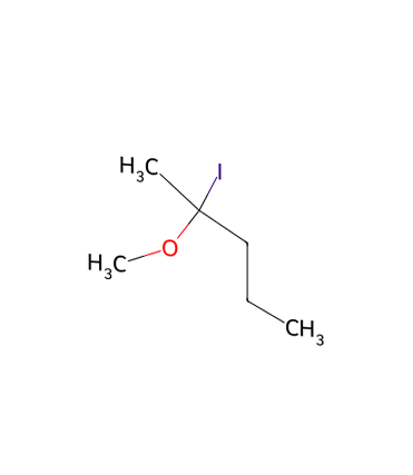 CCCC(C)(I)OC